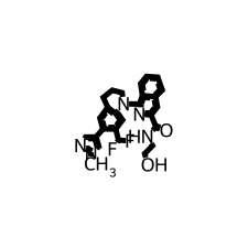 Cn1cc(-c2cc3c(cc2C(F)F)N(c2nc(C(=O)NCCO)cc4ccccc24)CCC3)cn1